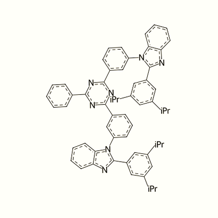 CC(C)c1cc(-c2nc3ccccc3n2-c2cccc(-c3nc(-c4ccccc4)nc(-c4cccc(-n5c(-c6cc(C(C)C)cc(C(C)C)c6)nc6ccccc65)c4)n3)c2)cc(C(C)C)c1